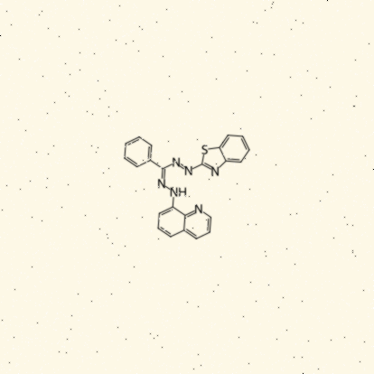 c1ccc(C(N=Nc2nc3ccccc3s2)=NNc2cccc3cccnc23)cc1